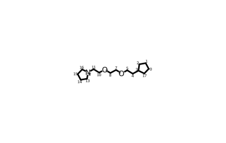 C1CCC(CCOCCOCCN2CCCC2)C1